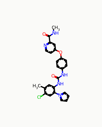 CNC(=O)c1cc(Oc2ccc(NC(=O)Nc3cc(C)c(Cl)cc3-n3cccc3)cc2)ccn1